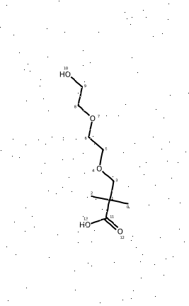 CC(C)(COCCOCCO)C(=O)O